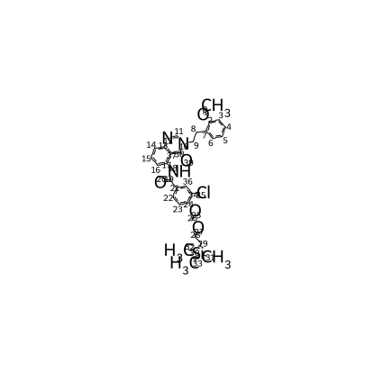 COc1ccccc1CCn1cnc2cccc(NC(=O)c3ccc(OCOCC[Si](C)(C)C)c(Cl)c3)c2c1=O